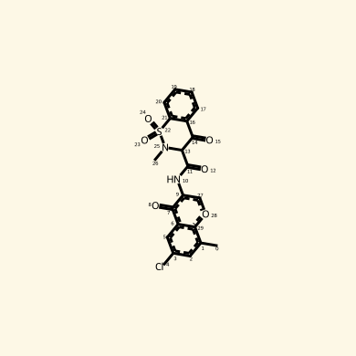 Cc1cc(Cl)cc2c(=O)c(NC(=O)C3C(=O)c4ccccc4S(=O)(=O)N3C)coc12